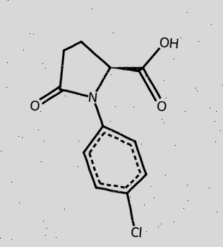 O=C(O)[C@@H]1CCC(=O)N1c1ccc(Cl)cc1